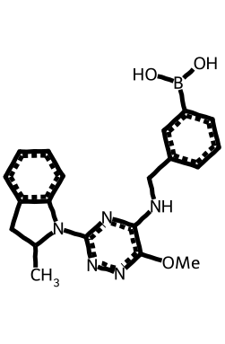 COc1nnc(N2c3ccccc3CC2C)nc1NCc1cccc(B(O)O)c1